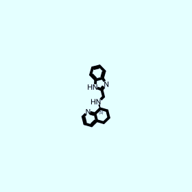 c1cnc2c(c1)CCC[C@@H]2NCc1nc2ccccc2[nH]1